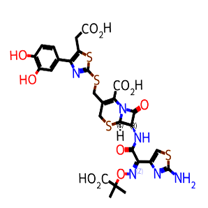 CC(C)(O/N=C(\C(=O)N[C@@H]1C(=O)N2C(C(=O)O)=C(CSc3nc(-c4ccc(O)c(O)c4)c(CC(=O)O)s3)CS[C@H]12)c1csc(N)n1)C(=O)O